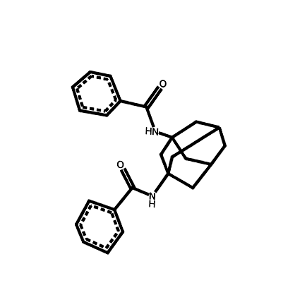 O=C(NC12CC3CC(C1)CC(NC(=O)c1ccccc1)(C3)C2)c1ccccc1